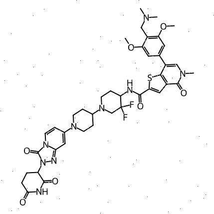 COc1cc(-c2cn(C)c(=O)c3cc(C(=O)NC4CCN(C5CCN(c6ccn7c(=O)n(C8CCC(=O)NC8=O)nc7c6)CC5)CC4(F)F)sc23)cc(OC)c1CN(C)C